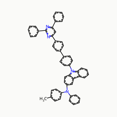 Cc1ccc(N(c2ccccc2)c2ccc3c(c2)c2ccccc2n3-c2ccc(-c3ccc(-c4cc(-c5ccccc5)nc(-c5ccccc5)n4)cc3)cc2)cc1